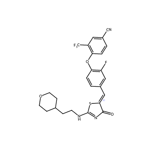 N#Cc1ccc(Oc2ccc(/C=C3\SC(NCCC4CCOCC4)=NC3=O)cc2F)c(C(F)(F)F)c1